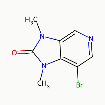 Cn1c(=O)n(C)c2c(Br)cncc21